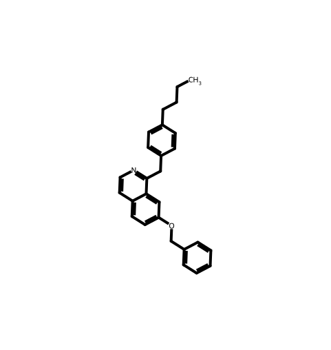 CCCCc1ccc(Cc2nccc3ccc(OCc4ccccc4)cc23)cc1